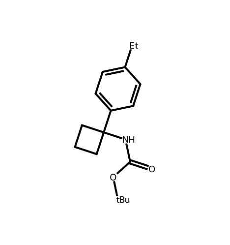 CCc1ccc(C2(NC(=O)OC(C)(C)C)CCC2)cc1